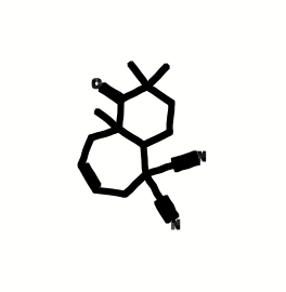 CC1(C)CCC2C(C#N)(C#N)CC=CCC2(C)C1=O